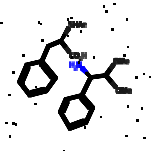 CC(=O)N[C@H](Cc1ccccc1)C(=O)O.COC(OC)[C@H](N)c1ccccc1